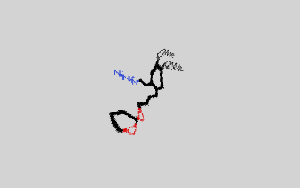 COc1cc(CCCCOC2CCCCO2)c(CCN=[N+]=[N-])cc1OC